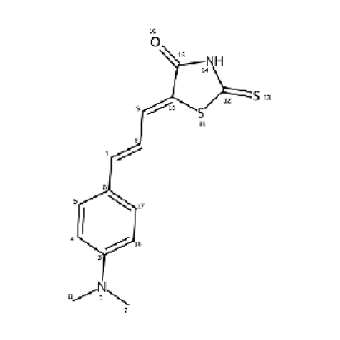 CN(C)c1ccc(/C=C/C=C2\SC(=S)NC2=O)cc1